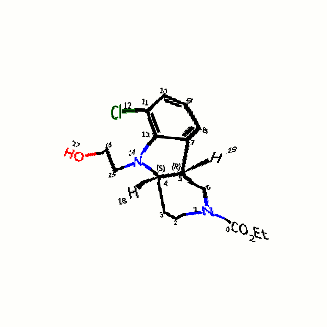 CCOC(=O)N1CC[C@H]2[C@@H](C1)c1cccc(Cl)c1N2CCO